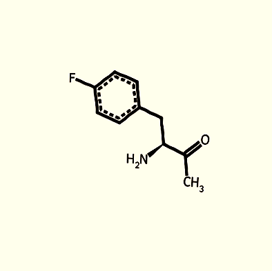 CC(=O)[C@@H](N)Cc1ccc(F)cc1